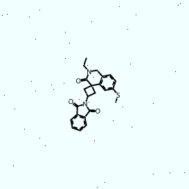 CCN1Cc2ccc(SC)cc2C2(CC(N3C(=O)c4ccccc4C3=O)C2)C1=O